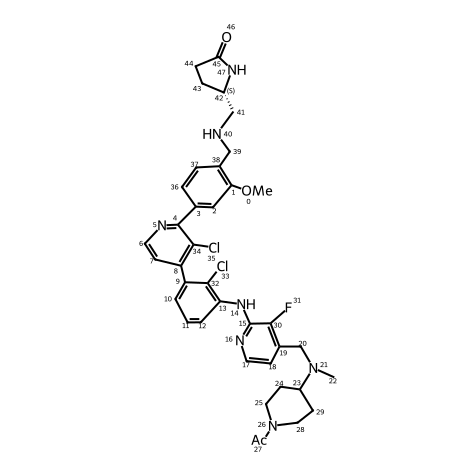 COc1cc(-c2nccc(-c3cccc(Nc4nccc(CN(C)C5CCN(C(C)=O)CC5)c4F)c3Cl)c2Cl)ccc1CNC[C@@H]1CCC(=O)N1